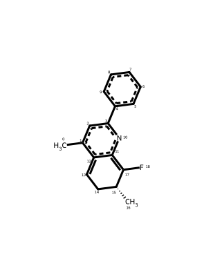 Cc1cc(-c2ccccc2)nc2c1=CC[C@@H](C)C=2F